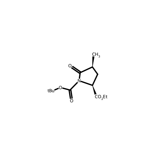 CCOC(=O)[C@@H]1C[C@H](C)C(=O)N1C(=O)OC(C)(C)C